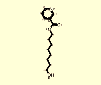 O=C(OCCCCCCCCO)c1cccnc1